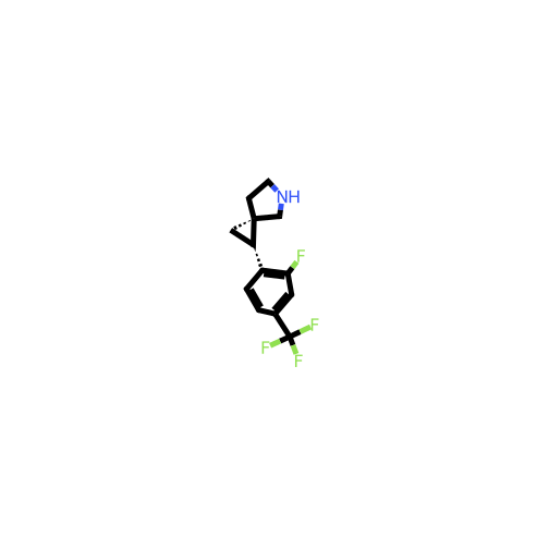 Fc1cc(C(F)(F)F)ccc1[C@@H]1C[C@@]12CCNC2